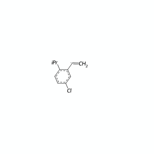 C=[C]c1cc(Cl)ccc1C(C)C